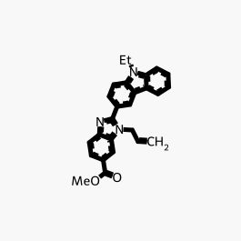 C=CCn1c(-c2ccc3c(c2)c2ccccc2n3CC)nc2ccc(C(=O)OC)cc21